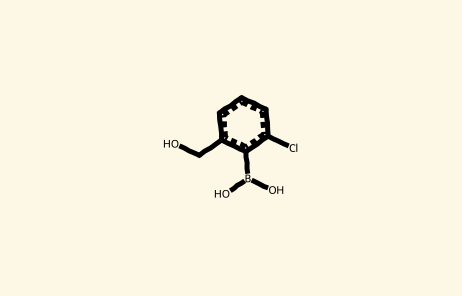 OCc1cccc(Cl)c1B(O)O